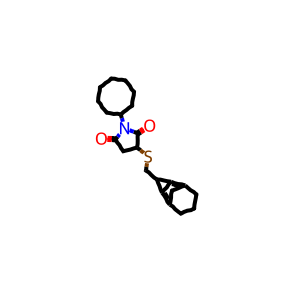 O=C1CC(SCC2C3=C4CCCC(=C32)C4)C(=O)N1C1CCCCCCC1